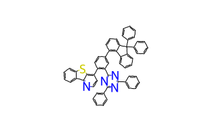 c1ccc(-c2nc(-c3ccccc3)nc(-c3cc(-c4cccc5c4-c4ccccc4C5(c4ccccc4)c4ccccc4)ccc3-c3ccnc4c3sc3ccccc34)n2)cc1